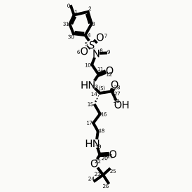 Cc1ccc(S(=O)(=O)N(C)CC(=O)N[C@@H](CCCCNC(=O)OC(C)(C)C)C(=O)O)cc1